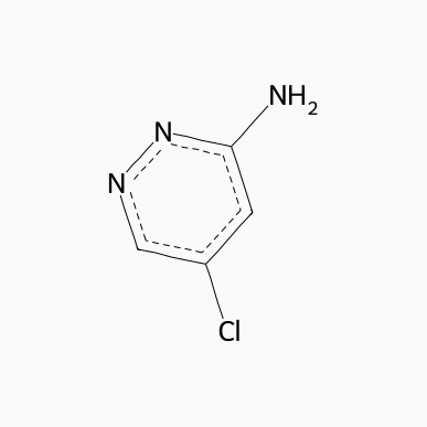 Nc1cc(Cl)cnn1